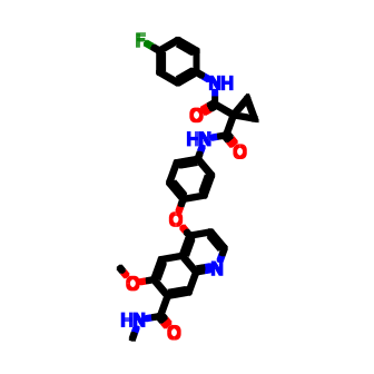 CNC(=O)c1cc2nccc(Oc3ccc(NC(=O)C4(C(=O)Nc5ccc(F)cc5)CC4)cc3)c2cc1OC